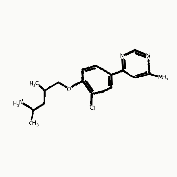 CC(N)CC(C)COc1ccc(-c2cc(N)ncn2)cc1Cl